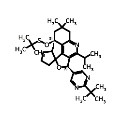 CC(C)c1nc2c(c3c1[C@@H](c1cnc(C(C)(C)C)nc1)OC31CCCC1I)[C@@H](OSC(C)(C)C)CC(C)(C)C2